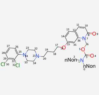 CCCCCCCCCN(CCCCCCCCC)C(=O)OCn1c(=O)ccc2ccc(OCCCCN3CCN(c4cccc(Cl)c4Cl)CC3)cc21